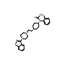 Cc1ccccc1N(C(=O)O)[C@H]1CC[C@H](CCN2CCN(c3nsc4ccccc34)CC2)CC1